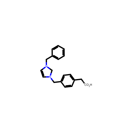 O=C(O)Cc1ccc(CN2C=CN(Cc3ccccc3)C2)cc1